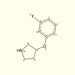 Fc1cccc(OC2CCNC2)c1